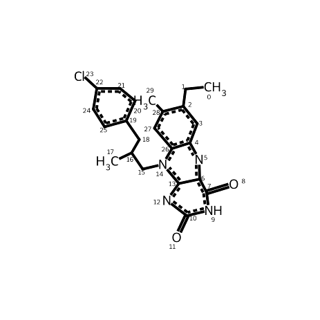 CCc1cc2nc3c(=O)[nH]c(=O)nc-3n(CC(C)Cc3ccc(Cl)cc3)c2cc1C